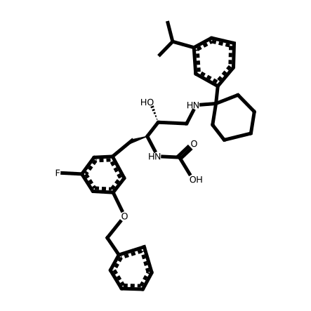 CC(C)c1cccc(C2(NC[C@@H](O)[C@H](Cc3cc(F)cc(OCc4ccccc4)c3)NC(=O)O)CCCCC2)c1